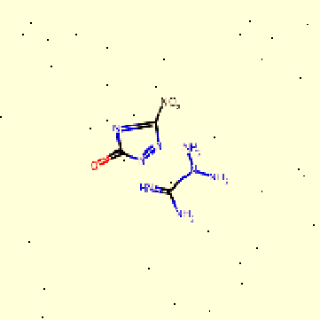 N=C(N)N(N)N.O=C1N=NC([N+](=O)[O-])=N1